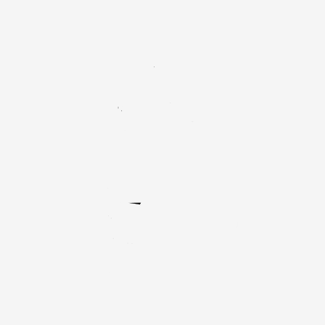 CC(C)(CO)Cc1[nH]c2ccc(OC(Cc3ccc(Cl)cc3)[C@@H]3CCCN3C(=O)OC(C)(C)C)cc2c1SC(C)(C)C